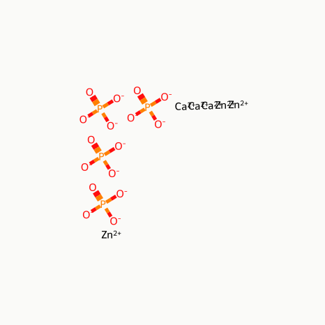 O=P([O-])([O-])[O-].O=P([O-])([O-])[O-].O=P([O-])([O-])[O-].O=P([O-])([O-])[O-].[Ca+2].[Ca+2].[Ca+2].[Zn+2].[Zn+2].[Zn+2]